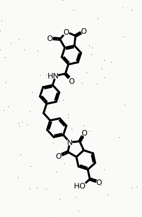 O=C(O)C1=CC2C(=O)N(c3ccc(Cc4ccc(NC(=O)c5ccc6c(c5)C(=O)OC6=O)cc4)cc3)C(=O)C2C=C1